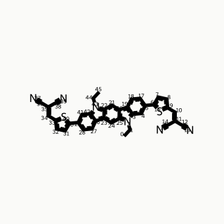 CCn1c2cc(-c3ccc(C=C(C#N)C#N)s3)ccc2c2cc3c(cc21)c1ccc(-c2ccc(C=C(C#N)C#N)s2)cc1n3CC